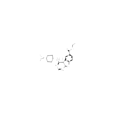 CCOC(=O)c1ccc2c(c1)C1C(N[C@H]3CC[C@H](N(C)C)CC3)=NC=NC1S2